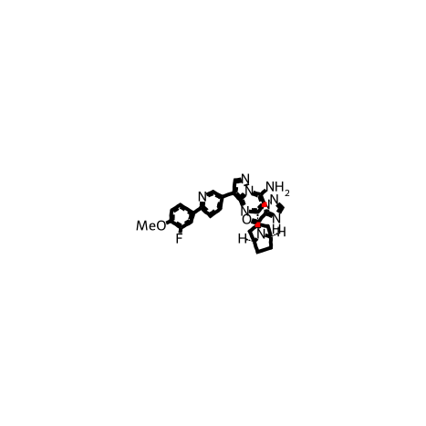 COc1ccc(-c2ccc(-c3cnn4c(N)cc([C@@H]5C[C@H]6CC[C@@H](C5)N6C(=O)c5nnc[nH]5)nc34)cn2)cc1F